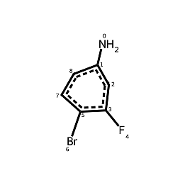 Nc1[c]c(F)c(Br)cc1